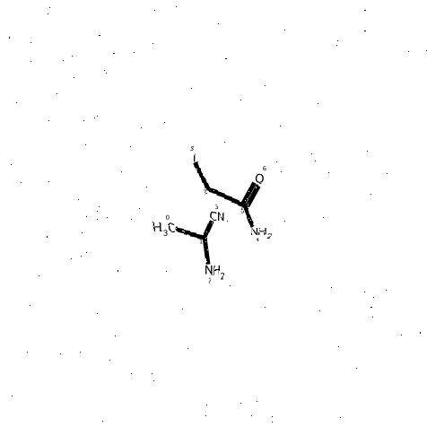 CC(N)C#N.NC(=O)CI